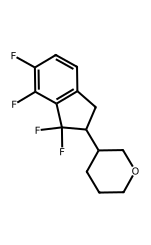 Fc1ccc2c(c1F)C(F)(F)C(C1CCCOC1)C2